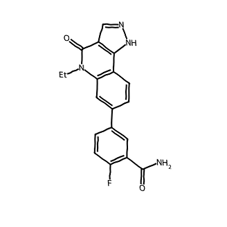 CCn1c(=O)c2cn[nH]c2c2ccc(-c3ccc(F)c(C(N)=O)c3)cc21